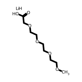 COCCOCCOCCOCC(=O)O.[LiH]